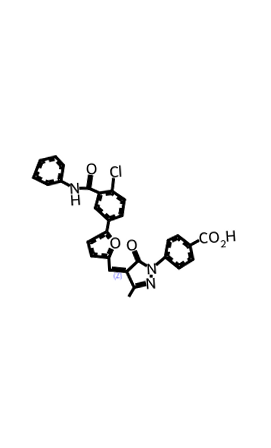 CC1=NN(c2ccc(C(=O)O)cc2)C(=O)/C1=C\c1ccc(-c2ccc(Cl)c(C(=O)Nc3ccccc3)c2)o1